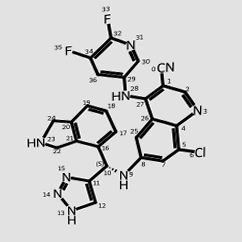 N#Cc1cnc2c(Cl)cc(N[C@H](c3c[nH]nn3)c3cccc4c3CNC4)cc2c1Nc1cnc(F)c(F)c1